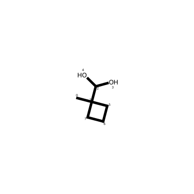 CC1([C](O)O)CCC1